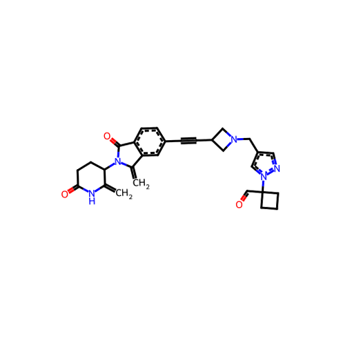 C=C1NC(=O)CCC1N1C(=C)c2cc(C#CC3CN(Cc4cnn(C5(C=O)CCC5)c4)C3)ccc2C1=O